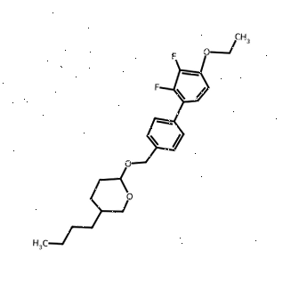 CCCCC1CCC(OCc2ccc(-c3ccc(OCC)c(F)c3F)cc2)OC1